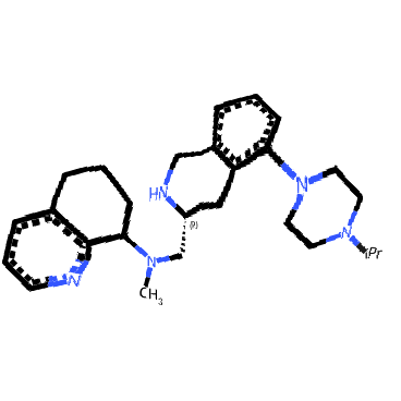 CC(C)N1CCN(c2cccc3c2C[C@H](CN(C)C2CCCc4cccnc42)NC3)CC1